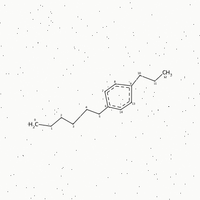 [CH2]CCCCCc1ccc(CCC)cc1